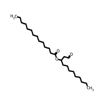 CCCCCCCCCCCCCC(=O)OC(C[C]=O)CCCCCCCCC